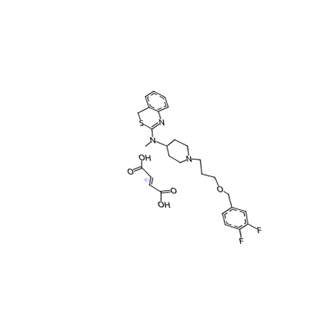 CN(C1=Nc2ccccc2CS1)C1CCN(CCCOCc2ccc(F)c(F)c2)CC1.O=C(O)/C=C/C(=O)O